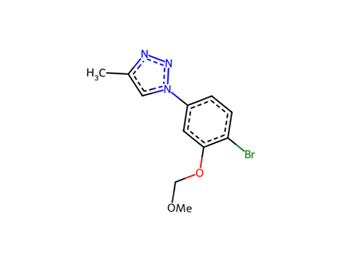 COCOc1cc(-n2cc(C)nn2)ccc1Br